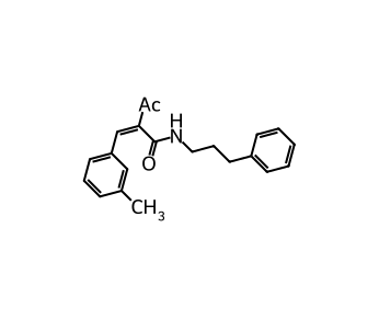 CC(=O)C(=Cc1cccc(C)c1)C(=O)NCCCc1ccccc1